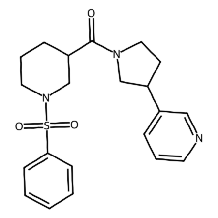 O=C(C1CCCN(S(=O)(=O)c2ccccc2)C1)N1CCC(c2cccnc2)C1